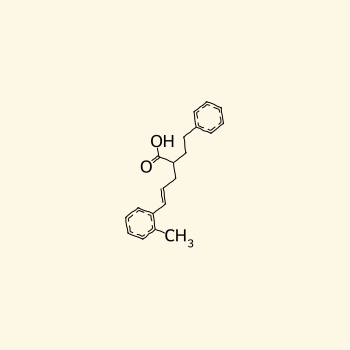 Cc1ccccc1C=CCC(CCc1ccccc1)C(=O)O